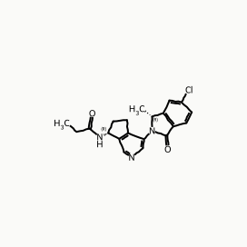 CCC(=O)N[C@@H]1CCc2c1cncc2N1C(=O)c2ccc(Cl)cc2[C@H]1C